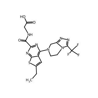 CCc1cc2c(N3CCn4c(nnc4C(F)(F)F)C3)nc(C(=O)NCC(=O)O)nc2s1